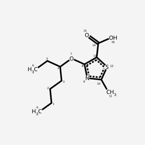 CCCCC(CC)Oc1nc(C)sc1C(=O)O